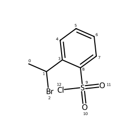 CC(Br)c1ccccc1S(=O)(=O)Cl